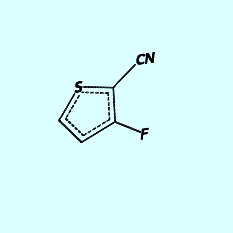 N#Cc1sccc1F